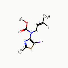 CC/C(=C\CN(C(=O)OC(C)(C)C)c1nc(C(F)(F)F)sc1I)C(=O)O